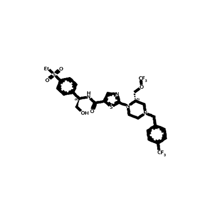 CCS(=O)(=O)c1ccc([C@H](CO)NC(=O)c2cnc(N3CCN(Cc4ccc(C(F)(F)F)cc4)C[C@H]3COC(F)(F)F)s2)cc1